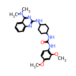 COc1ccc(NC(=O)NC2CCC(Nc3nc(N(C)C)c4ccccc4n3)CC2)c(OC)c1